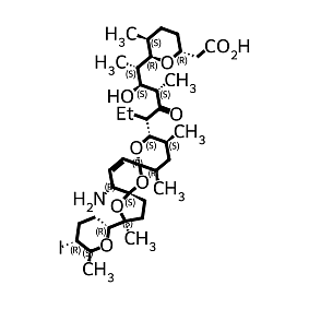 CCC(C(=O)[C@@H](C)[C@@H](O)[C@H](C)[C@@H]1O[C@@H](CC(=O)O)CC[C@@H]1C)[C@H]1O[C@]2(C=C[C@@H](N)[C@]3(CC[C@@](C)([C@H]4CC[C@@H](I)[C@H](C)O4)O3)O2)[C@H](C)C[C@@H]1C